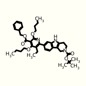 CCCCOc1nc(-c2ccc3c4c([nH]c3c2)CCN(C(=O)OC(C)(C)C)C4)c(CC)c(OCCCC)c1C(=O)OCc1ccccc1